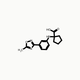 Cc1nc(-c2cccc(NC3(C(=O)O)CCCC3)c2)no1